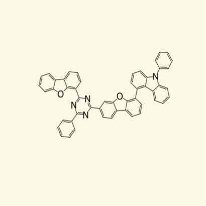 c1ccc(-c2nc(-c3ccc4c(c3)oc3c(-c5cccc6c5c5ccccc5n6-c5ccccc5)cccc34)nc(-c3cccc4c3oc3ccccc34)n2)cc1